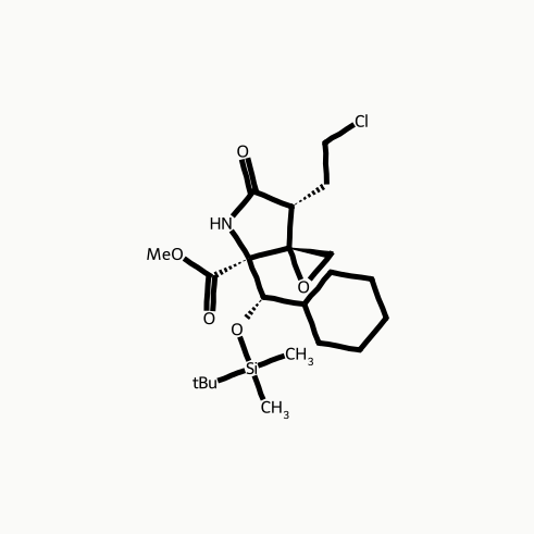 COC(=O)[C@]1([C@@H](O[Si](C)(C)C(C)(C)C)C2CCCCC2)NC(=O)[C@H](CCCl)[C@@]12CO2